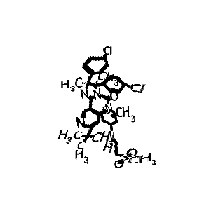 CCOc1cc(C(C)(C)C)ncc1C1=N[C@@](C)(c2ccc(Cl)cc2)[C@@](C)(c2ccc(Cl)cc2)N1C(=O)N1CCC(NCCS(C)(=O)=O)CC1